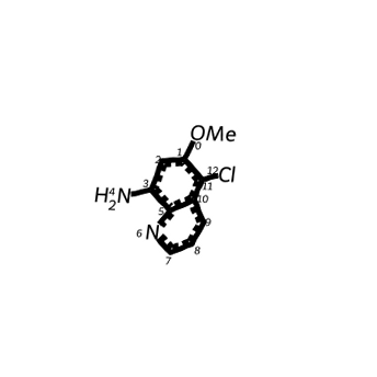 COc1cc(N)c2ncccc2c1Cl